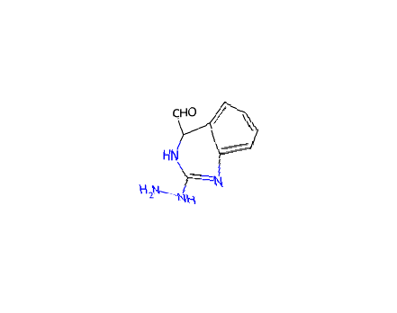 NNC1=Nc2ccccc2C(C=O)N1